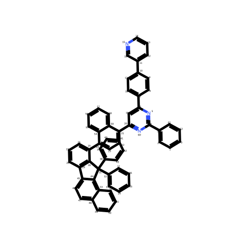 c1ccc(-c2nc(-c3ccc(-c4cccnc4)cc3)cc(-c3ccc(-c4cccc5c4C(c4ccccc4)(c4ccccc4)c4c-5ccc5ccccc45)c4ccccc34)n2)cc1